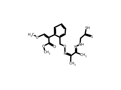 COC=C(C(=O)OC)c1ccccc1CON=C(C)C(C)=NNCC(=S)S